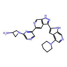 NC1CN(c2cncc(-c3cc4c(-c5cc6c(N7CCCCC7)cncc6[nH]5)n[nH]c4cn3)n2)C1